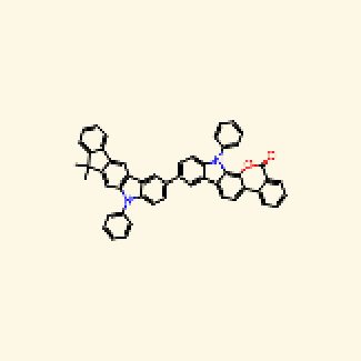 CC1(C)c2ccccc2-c2cc3c4cc(-c5ccc6c(c5)c5ccc7c8ccccc8c(=O)oc7c5n6-c5ccccc5)ccc4n(-c4ccccc4)c3cc21